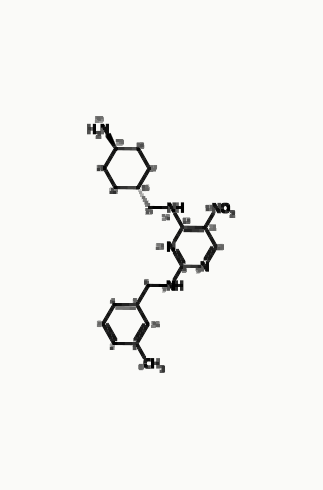 Cc1cccc(CNc2ncc([N+](=O)[O-])c(NC[C@H]3CC[C@H](N)CC3)n2)c1